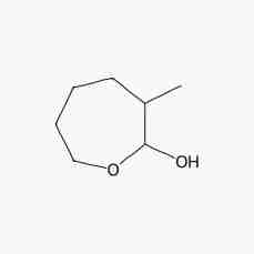 CC1CCCCOC1O